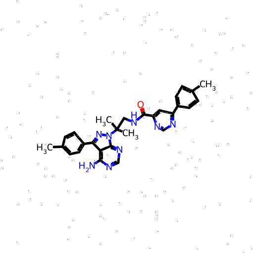 Cc1ccc(-c2cc(C(=O)NCC(C)(C)n3nc(-c4ccc(C)cc4)c4c(N)ncnc43)ncn2)cc1